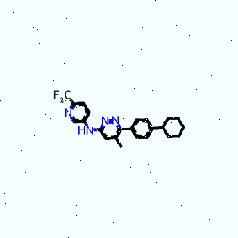 Cc1cc(Nc2ccc(C(F)(F)F)nc2)nnc1-c1ccc(C2CCCCC2)cc1